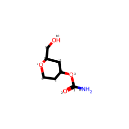 NC(=O)OC1CCOC(CO)C1